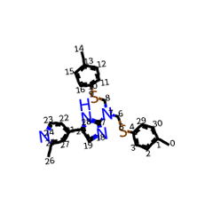 Cc1ccc(SCN(CSc2ccc(C)cc2)c2ncc(-c3ccnc(C)c3)[nH]2)cc1